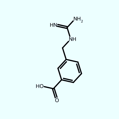 N=C(N)NCc1cccc(C(=O)O)c1